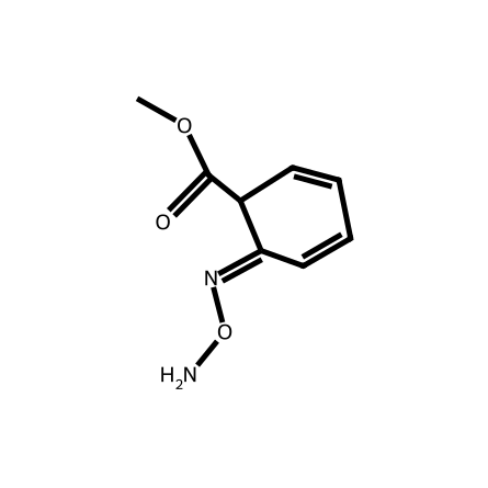 COC(=O)C1C=CC=CC1=NON